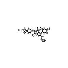 Cc1c(C(=O)Nc2ccc(S(N)(=O)=O)cc2)cc(CCO)n1-c1ccc(Cl)cc1C(F)(F)F